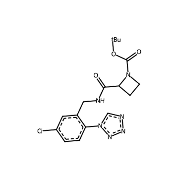 CC(C)(C)OC(=O)N1CCC1C(=O)NCc1cc(Cl)ccc1-n1cnnn1